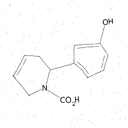 O=C(O)N1CC=CCC1c1cccc(O)c1